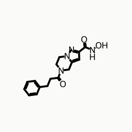 O=C(NO)c1cc2n(n1)CCN(C(=O)CCc1ccccc1)C2